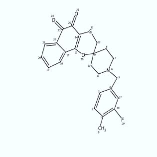 Cc1ccc(CN2CCC3(CC2)CSC2=C(O3)c3ccccc3C(=O)C2=O)cc1F